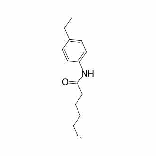 [CH2]CCCCC(=O)Nc1ccc(CC)cc1